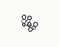 c1ccc2c(c1)Sc1cccc(Nc3cccc4oc5ccccc5c34)c1C21c2ccccc2-c2ccccc21